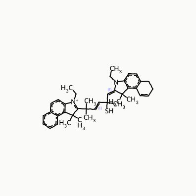 CCN1/C(=C/C(C)(S)/C=C/C(C)(C)C2=[N+](CC)c3ccc4ccccc4c3C2(C)C)C(C)(C)c2c1ccc1c2C=CCC1